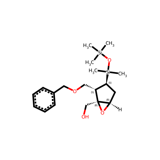 C[Si](C)(C)O[Si](C)(C)[C@H]1C[C@H]2O[C@@]2(CO)[C@@H]1COCc1ccccc1